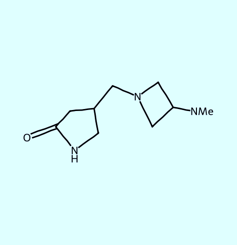 CNC1CN(CC2CNC(=O)C2)C1